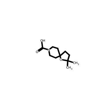 CC1(C)CCC2(CCN(C(=O)O)CC2)O1